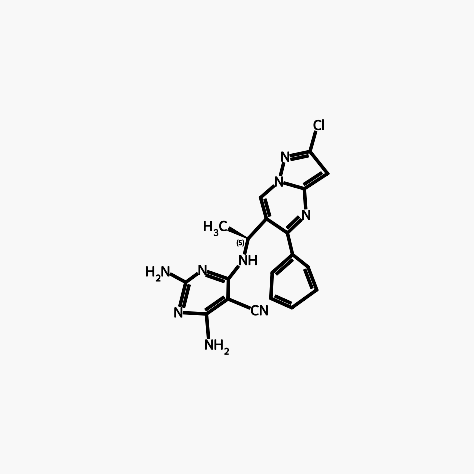 C[C@H](Nc1nc(N)nc(N)c1C#N)c1cn2nc(Cl)cc2nc1-c1ccccc1